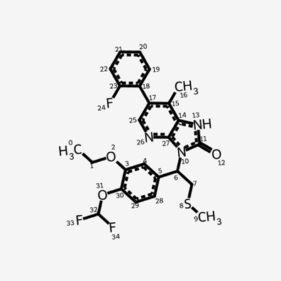 CCOc1cc(C(CSC)n2c(=O)[nH]c3c(C)c(-c4ccccc4F)cnc32)ccc1OC(F)F